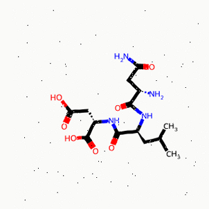 CC(C)C[C@H](NC(=O)[C@@H](N)CC(N)=O)C(=O)N[C@@H](CC(=O)O)C(=O)O